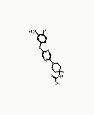 CC1(NC(=O)O)CCN(c2cnc(Sc3ccc(Cl)c(N)c3)cn2)CC1